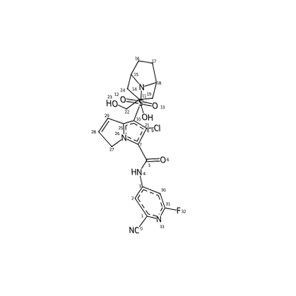 N#Cc1cc(NC(=O)c2c(Cl)c(S(=O)(=O)N3C4CCC3CC(O)(CO)C4)c3n2CC=C3)cc(F)n1